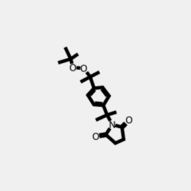 CC(C)(C)OOC(C)(C)c1ccc(C(C)(C)N2C(=O)CCC2=O)cc1